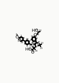 COc1ccc(-c2ccc(Cn3c(CC(C)(C)C(=O)O)c(SC(C)(C)C)c4cc(OCC(C)O)ccc43)cc2)cn1